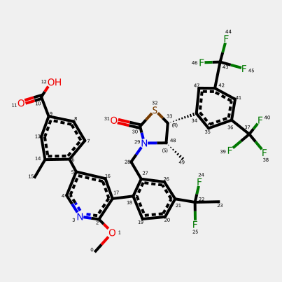 COc1ncc(-c2ccc(C(=O)O)cc2C)cc1-c1ccc(C(C)(F)F)cc1CN1C(=O)S[C@H](c2cc(C(F)(F)F)cc(C(F)(F)F)c2)[C@@H]1C